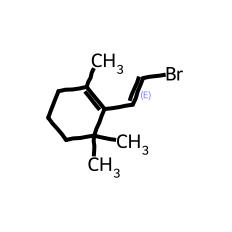 CC1=C(/C=C/Br)C(C)(C)CCC1